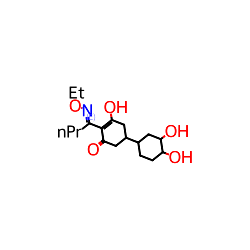 CCC/C(=N\OCC)C1=C(O)CC(C2CCC(O)C(O)C2)CC1=O